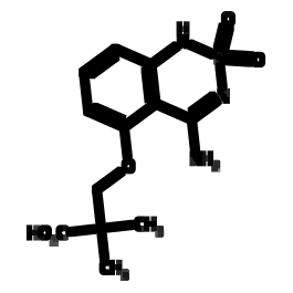 CC(C)(COc1cccc2c1C(N)=NS(=O)(=O)N2)C(=O)O